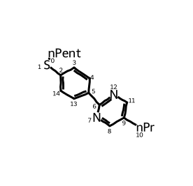 CCCCCSc1ccc(-c2ncc(CCC)cn2)cc1